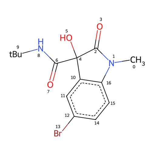 CN1C(=O)C(O)(C(=O)NC(C)(C)C)c2cc(Br)ccc21